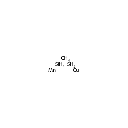 C.S.[Cu].[Mn].[SiH4]